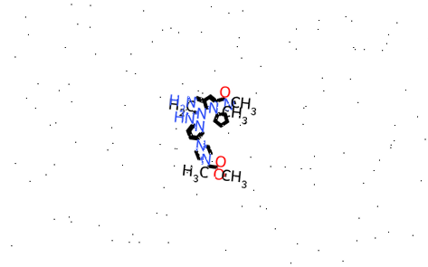 C=C(/N=C1\C(=C/N)C=C(C(=O)N(C)C)N1C1CCCC1)Nc1ccc(N2CCN(C(C)C(=O)OC)CC2)cn1